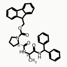 C[C@@H](NC(=O)[C@@H]1CCCN1C(=O)OCC1c2ccccc2-c2ccccc21)C(=O)NC(c1ccccc1)c1ccccc1